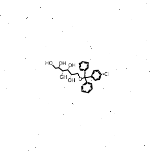 OC[C@@H](O)[C@@H](O)[C@H](O)[C@@H](O)COC(c1ccccc1)(c1ccccc1)c1ccc(Cl)cc1